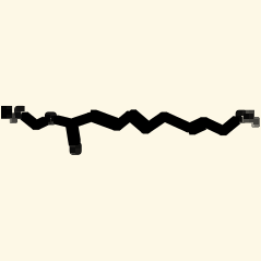 CCC=CC/C=C/C=C/C(=O)OCC